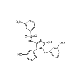 CSc1cccc(Cc2c(-c3cc(C#N)ccn3)c(NS(=O)(=O)c3cccc([N+](=O)[O-])c3)nn2S)c1